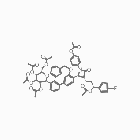 CC(=O)OC[C@H]1O[C@@H](c2cccc(-c3ccc([C@@H]4[C@@H](CC[C@H](OC(C)=O)c5ccc(F)cc5)C(=O)N4c4ccc(OC(C)=O)cc4)c(OCc4ccccc4)c3)c2)C(OC(C)=O)C(OC(C)=O)[C@@H]1OC(C)=O